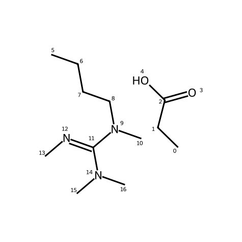 CCC(=O)O.CCCCN(C)C(=NC)N(C)C